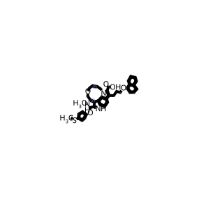 CN/C1=C(\C(=N)COc2ccc(SC)cc2)c2cccc3c(CCCOc4cccc5ccccc45)c(C(=O)O)n(c23)C/C=C\COC1